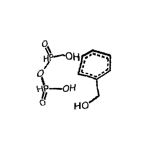 O=[PH](O)O[PH](=O)O.OCc1ccccc1